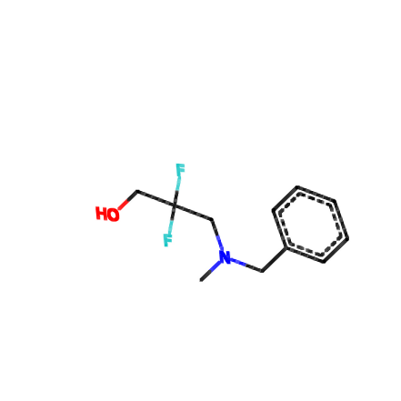 CN(Cc1ccccc1)CC(F)(F)CO